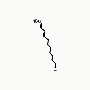 CCCC/C=C/C=C/CCCCCCCCl